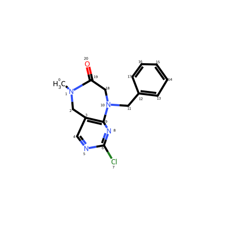 CN1Cc2cnc(Cl)nc2N(Cc2ccccc2)CC1=O